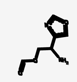 NC(COC=O)c1cocn1